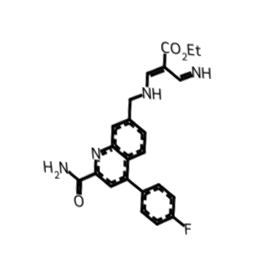 CCOC(=O)/C(C=N)=C/NCc1ccc2c(-c3ccc(F)cc3)cc(C(N)=O)nc2c1